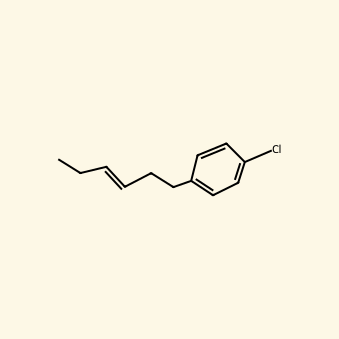 CCC=CCCc1ccc(Cl)cc1